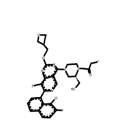 N#CC[C@H]1CN(c2nc(OCC3COC3)nc3c(F)c(-c4cccc5ccc(F)c(Cl)c45)ncc23)CCN1C(=O)CF